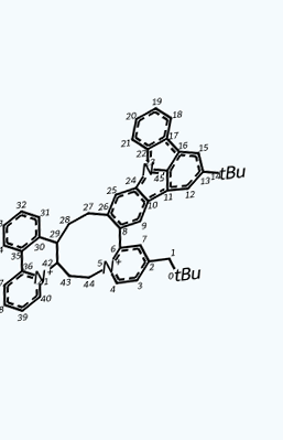 CC(C)(C)Cc1cc[n+]2c(c1)-c1cc3c4cc(C(C)(C)C)cc5c6ccccc6n(c3cc1CCC1c3ccccc3-c3cccc[n+]3C1CC2)c54